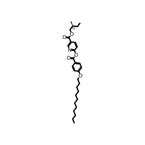 CCCCCCCCCCCCOc1ccc(C(=O)Oc2ccc(C(=O)OC[C@@H](C)CC)cn2)cc1